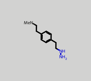 CNCCc1ccc(CCNN)cc1